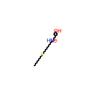 CCCCCCCCCCSCCCCCCCCCCCNC(=O)CCc1ccc(O)cc1